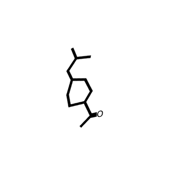 CC(=O)C1CCC(CC(C)C)CC1